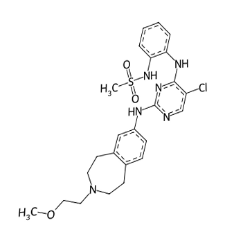 COCCN1CCc2ccc(Nc3ncc(Cl)c(Nc4ccccc4NS(C)(=O)=O)n3)cc2CC1